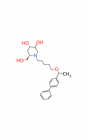 CC(OCCCCCN1C[C@H](O)C(O)C[C@@H]1CO)c1ccc(-c2ccccc2)cc1